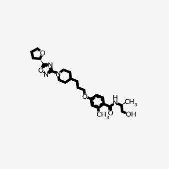 Cc1cc(OCCCC2CCN(c3noc([C@@H]4CCCO4)n3)CC2)ccc1C(=O)N[C@H](C)CO